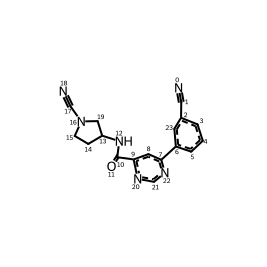 N#Cc1cccc(-c2cc(C(=O)NC3CCN(C#N)C3)ncn2)c1